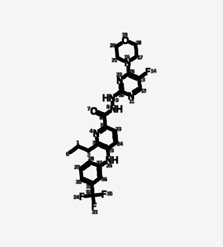 CCCc1nc(C(=O)NNc2ncc(F)c(N3CCOCC3)n2)ccc1Nc1cccc(C(F)(F)F)c1